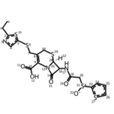 CCc1ncc(SCC2=C(C(=O)O)N3C(=O)C(NC(=O)C[S+]([O-])c4cccs4)[C@@H]3SC2)s1